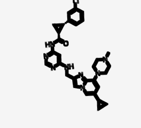 CN1CCN(c2cc(C3CC3)cn3cc(CNc4cc(NC(=O)[C@H]5C[C@@H]5c5cccc(Cl)c5)ncn4)nc23)CC1